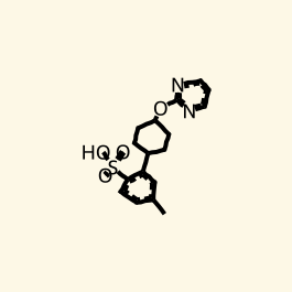 Cc1ccc(S(=O)(=O)O)c(C2CCC(Oc3ncccn3)CC2)c1